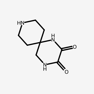 O=C1NCC2(CCNCC2)NC1=O